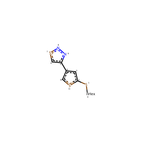 CCCCCCSc1cc(-c2csnn2)cs1